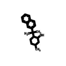 CC1CCC(C(C)(C)c2ccc3ccccc3c2)C(O)C1